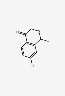 CC1SCC(=O)c2ccc(Cl)cc21